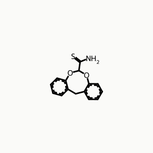 NC(=S)C1Oc2ccccc2Cc2ccccc2O1